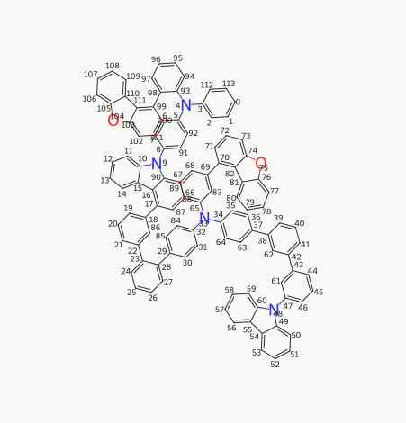 c1ccc(N(c2ccc(-n3c4ccccc4c4c(-c5cccc(-c6ccccc6-c6ccc(N(c7ccc(-c8cccc(-c9cccc(-n%10c%11ccccc%11c%11ccccc%11%10)c9)c8)cc7)c7cccc(-c8cccc9oc%10ccccc%10c89)c7)cc6)c5)cccc43)cc2)c2ccccc2-c2cccc3oc4ccccc4c23)cc1